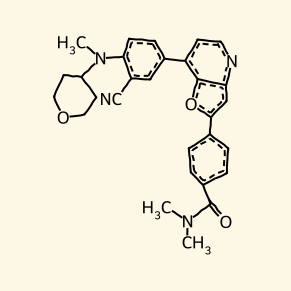 CN(C)C(=O)c1ccc(-c2cc3nccc(-c4ccc(N(C)C5CCOCC5)c(C#N)c4)c3o2)cc1